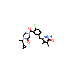 Cc1c(Cc2ccc(F)c(C(=O)N3CCN(C(C)C4CC4)C(=O)C3)c2)n[nH]c(=O)c1C